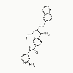 CCCCC(OCc1ccc2ccccc2c1)C(N)c1ccc(C(=O)Nc2ccnc(N)c2)cc1